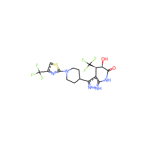 O=C1Nc2[nH]nc(C3CCN(c4nc(C(F)(F)F)cs4)CC3)c2[C@@H](C(F)(F)F)[C@H]1O